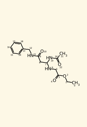 CCOC(=O)CNC(CC(=O)NCc1ccccc1)NC(C)=O